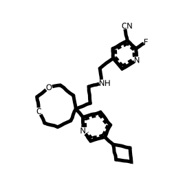 N#Cc1cc(CNCCC2(c3ccc(C4CCC4)cn3)CCCCCOCC2)cnc1F